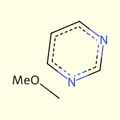 COC.c1cncnc1